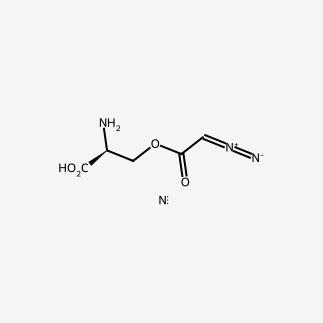 [N-]=[N+]=CC(=O)OC[C@H](N)C(=O)O.[N]